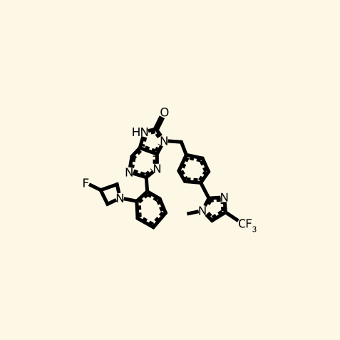 Cn1cc(C(F)(F)F)nc1-c1ccc(Cn2c(=O)[nH]c3cnc(-c4ccccc4N4CC(F)C4)nc32)cc1